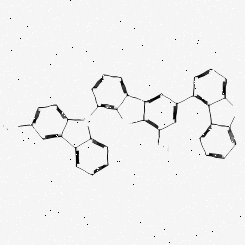 N#Cc1ccc2c(c1)c1ccccc1n2-c1cccc2c1oc1c(C#N)cc(-c3cccc4oc5ccccc5c34)cc12